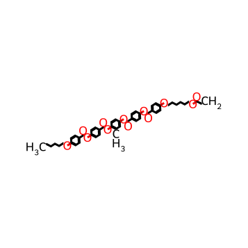 C=CC(=O)OCCCCCCOc1ccc(C(=O)Oc2ccc(C(=O)Oc3ccc(OC(=O)c4ccc(OC(=O)c5ccc(OCCCCCC)cc5)cc4)c(C)c3)cc2)cc1